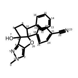 Cn1cc2c(n1)C1(O)CCC(c3ccccc3)C1(c1ccc(C#N)cc1)O2